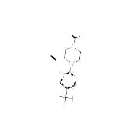 C=C[C@@H]1CN(C(=O)Cl)[C@H](C)CN1c1ncc(C(F)(F)F)cn1